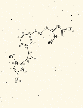 CC(C)n1cc(C(F)(F)F)nc1COCc1cccc(C2CC2c2nc(C(F)(F)F)cn2C(C)C)c1